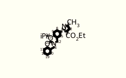 CCOC(=O)c1cc(C)nn1-c1cccc(CN(Cc2ccccc2)C(=O)OC(C)C)c1